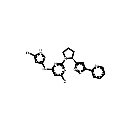 CCc1cc(Nc2cc(Cl)nc(N3CCC[C@H]3c3cc(-c4ccccn4)no3)n2)n[nH]1